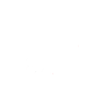 C=C(C)C(=O)OC(=O)C(C)=CC(O)CCCCCCCCC(C)O